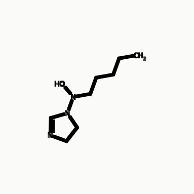 CCCCCN(O)N1C=NCC1